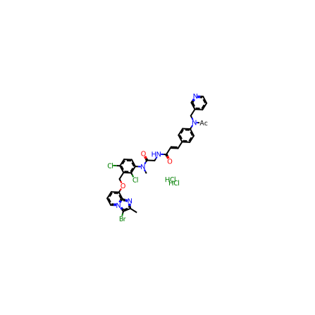 CC(=O)N(Cc1cccnc1)c1ccc(/C=C/C(=O)NCC(=O)N(C)c2ccc(Cl)c(COc3cccn4c(Br)c(C)nc34)c2Cl)cc1.Cl.Cl